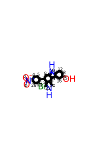 O=[N+]([O-])c1ccc(-c2cc3[nH]c4ccc(O)cc4c3c3c[nH]cc23)c(Br)c1